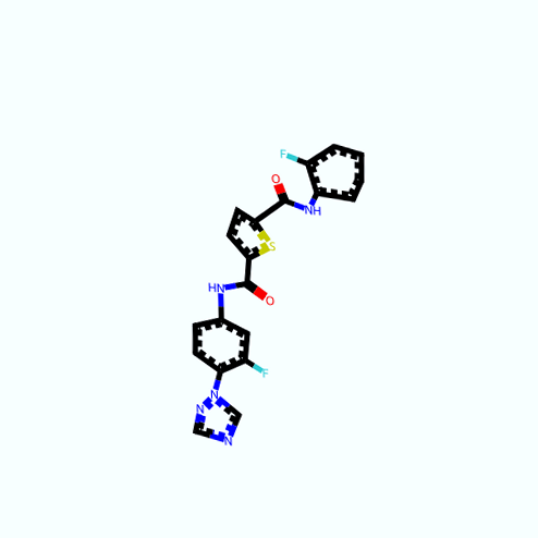 O=C(Nc1ccc(-n2cncn2)c(F)c1)c1ccc(C(=O)Nc2ccccc2F)s1